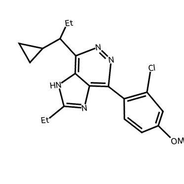 CCc1nc2c(-c3ccc(OC)cc3Cl)nnc(C(CC)C3CC3)c2[nH]1